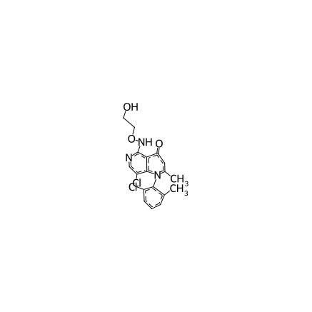 Cc1cccc(Cl)c1-n1c(C)cc(=O)c2c(NOCCO)ncc(Cl)c21